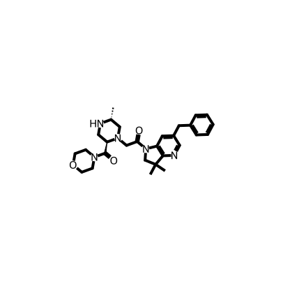 C[C@@H]1CN(CC(=O)N2CC(C)(C)c3ncc(Cc4ccccc4)cc32)[C@@H](C(=O)N2CCOCC2)CN1